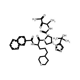 CC(NC(=O)[C@@H]1C[C@H](n2nncc2C(C)(C)O)CN1C(=O)C(CCCC1CCOCC1)NC(=O)c1ccc2ccccc2c1)C(=O)C(N)=O